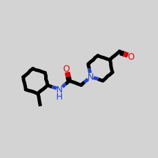 CC1CCCCC1NC(=O)CN1CCC(C=O)CC1